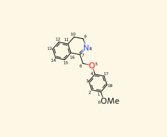 COc1ccc(OCC2=NCCc3ccccc32)cc1